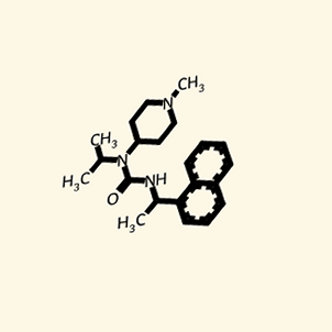 CC(NC(=O)N(C(C)C)C1CCN(C)CC1)c1cccc2ccccc12